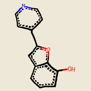 Oc1cccc2cc(-c3ccncc3)oc12